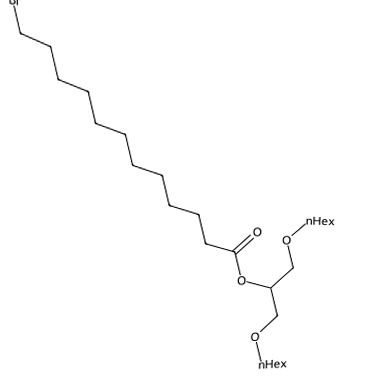 CCCCCCOCC(COCCCCCC)OC(=O)CCCCCCCCCCCBr